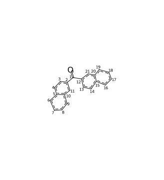 O=C(c1ccc2ccccc2c1)c1ccc2ccccc2c1